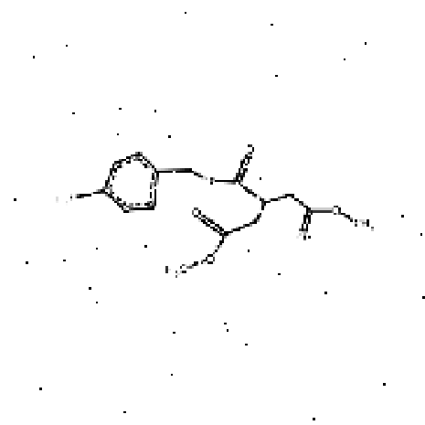 COC(=O)CC(CC(=O)OC)C(=O)OCc1ccc(C)cc1